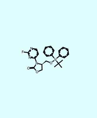 CC(C)(C)[Si](OC[C@H]1COC(=O)N1c1ccnc(F)n1)(c1ccccc1)c1ccccc1